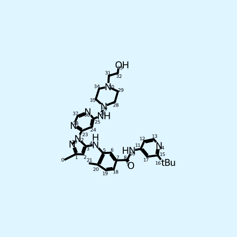 Cc1cc(Nc2cc(C(=O)Nc3ccnc(C(C)(C)C)c3)ccc2C)n(-c2cc(NN3CCN(CCO)CC3)ncn2)n1